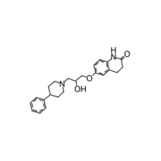 O=C1CCc2cc(OCC(O)CN3CCC(c4ccccc4)CC3)ccc2N1